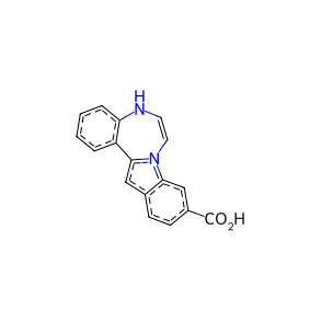 O=C(O)c1ccc2cc3n(c2c1)C=CNc1ccccc1-3